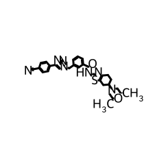 C[C@@H]1CN(C2CCc3nc(NC(=O)c4cccc(Cn5cc(-c6ccc(C#N)cc6)nn5)c4)sc3C2)C[C@H](C)O1